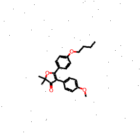 CCCCOc1ccc(C2=C(c3ccc(OC)cc3)C(=O)C(C)(C)O2)cc1